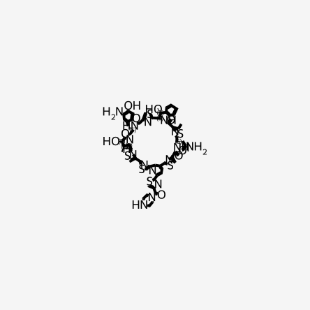 Cc1sc2nc1C(=O)N[C@@H]([C@H](O)c1ccccc1)c1nc(cs1)C(=O)N[C@@H](Cc1ccc(O)c(N)c1)C(=O)N1C[C@H](O)[C@H](C)[C@H]1c1nc(cs1)-c1nc(cs1)-c1nc(-c3nc(C(=O)N4CCNCC4)cs3)ccc1-c1nc(cs1)C(=O)N[C@H]2CC(N)=O